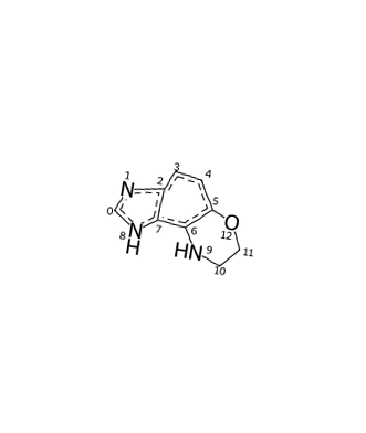 c1nc2ccc3c(c2[nH]1)NCCO3